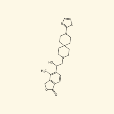 Cc1c(C(O)CN2CCC3(CC2)CCN(c2nccs2)CC3)ccc2c1COC2=O